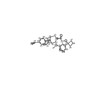 COc1cc(C2(OCC(=O)N3CC4C[C@H](C)C(C3)N4c3ccc(C#N)cn3)CCC2)cnn1